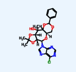 CC1(C)O[C@H]2[C@H](n3cnc4c(Cl)ncnc43)O[C@@H]3COC(c4ccccc4)O[C@H]3[C@@](C)(O)[C@H]2O1